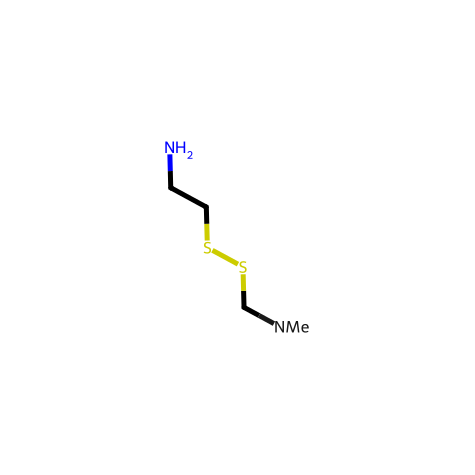 CNCSSCCN